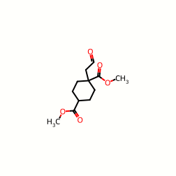 COC(=O)C1CCC(CC=O)(C(=O)OC)CC1